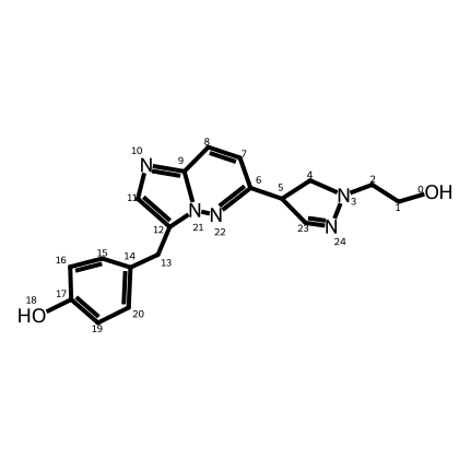 OCCN1CC(c2ccc3ncc(Cc4ccc(O)cc4)n3n2)C=N1